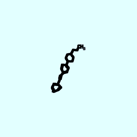 CCCC1CCC(c2ccc(C#Cc3cc[c]cc3)cc2)CC1